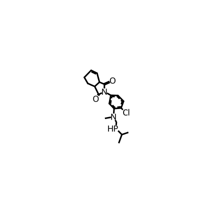 CC(C)PCN(C)c1cc(N2C(=O)C3C=CCCC3C2=O)ccc1Cl